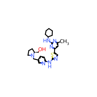 Cc1cc(-c2cnc(Nc3ccc(CN4CCC[C@H]4CO)cn3)s2)nc(NC2CCCCC2)n1